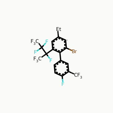 CCc1[c]c(Br)c(-c2ccc(F)c(C(F)(F)F)c2)c(C(F)(C(F)(F)F)C(F)(F)C(F)(F)F)c1